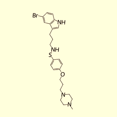 CN1CCN(CCCOc2ccc(SNCCCc3c[nH]c4ccc(Br)cc34)cc2)CC1